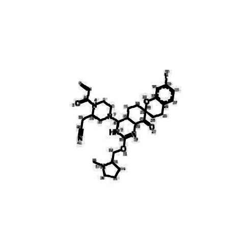 C=CC(=O)N1CCN(C2NC(OCC3CCCN3C)=NC3C(=O)[C@]4(CCc5ccc(F)cc5O4)CCC32)CC1CC#N